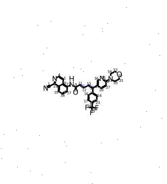 N#Cc1nccc2c(NC(=O)/C=C/C=C(\c3ccc(C(F)(F)F)cc3)c3ccc(N4CCOCC4)nc3)cccc12